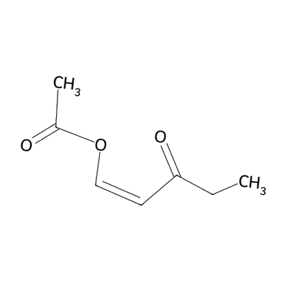 CCC(=O)/C=C\OC(C)=O